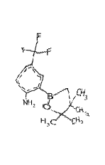 CC1(C)CB(c2cc(C(F)(F)F)ccc2N)OC1(C)C